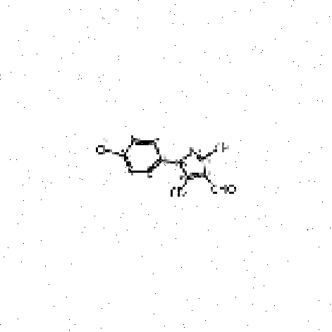 O=Cc1c(Cl)nn(-c2ccc(Cl)cc2)c1Cl